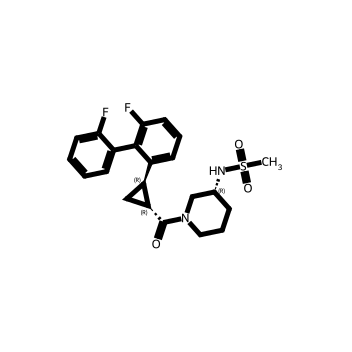 CS(=O)(=O)N[C@@H]1CCCN(C(=O)[C@@H]2C[C@H]2c2cccc(F)c2-c2ccccc2F)C1